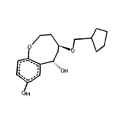 Oc1ccc2c(c1)[C@@H](O)[C@H](OCC1CCCC1)CCO2